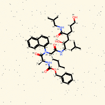 CCCC[C@@H](C(=O)N[C@@H](CC(C)C)[C@@H](O)CC(CCCO)C(=O)NCC(C)C)N(C(=O)[C@H](C)NC(=O)OCc1ccccc1)c1cccc2ccccc12